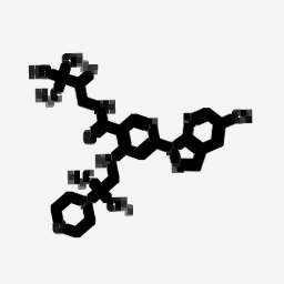 CC(C)(O)C(F)CNC(=O)c1cnc(-n2ncc3cc(C#N)cnc32)cc1NCC(C)(C)N1CCOCC1